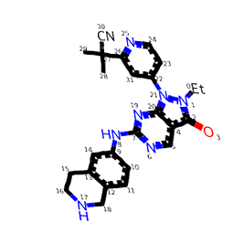 CCn1c(=O)c2cnc(Nc3ccc4c(c3)CCNC4)nc2n1-c1ccnc(C(C)(C)C#N)c1